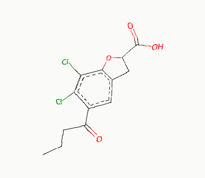 CCCC(=O)c1cc2c(c(Cl)c1Cl)OC(C(=O)O)C2